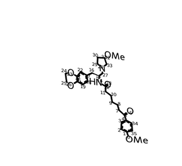 COc1ccc(C(=O)CCCCCC(=O)N[C@@H](Cc2ccc3c(c2)OCCO3)CN2CC[C@H](OC)C2)cc1